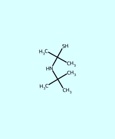 CC(C)(C)NC(C)(C)S